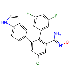 N/C(=N\O)c1cc(Cl)cc(-c2ccc3[nH]ccc3c2)c1-c1cc(F)cc(F)c1